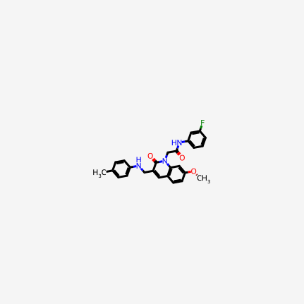 COc1ccc2cc(CNc3ccc(C)cc3)c(=O)n(CC(=O)Nc3cccc(F)c3)c2c1